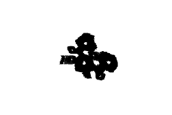 Cc1cc(O)c(C(=O)c2ccccc2)c(O)c1C(=O)c1ccccc1